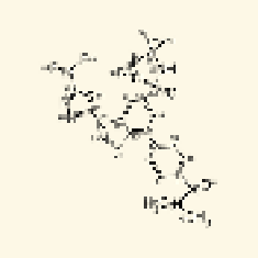 CN(C)C(=O)c1ccc(-c2cc(S(=O)(=O)NC3(C#N)CC3)cc3c2cnn3-c2nnc(C(F)F)s2)cc1